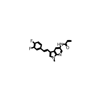 C=CC(=O)Nc1cnc2c(c1)c(C=Cc1ccc(F)c(F)c1)cn2C